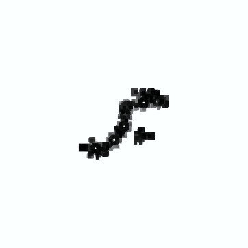 Cn1c(=O)n([C@@H]2CCC(=O)NC2=O)c2ccc(CCN3CCOC4(CCN(c5ccc6cn(C7CCC(CNC(=O)c8cc(F)c(O)c(F)c8F)CC7)nc6c5)CC4)C3)cc21.O=C(O)C(F)(F)F